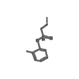 CCC[PH](=O)Oc1ccccc1C